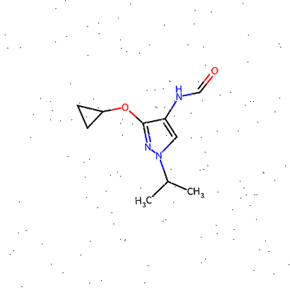 CC(C)n1cc(NC=O)c(OC2CC2)n1